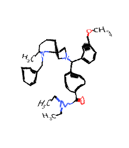 CCN(CC)C(=O)c1ccc(C(c2cccc(OC)c2)N2CC3(CCCC(C)N3Cc3ccccc3)C2)cc1